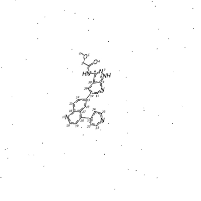 COCC(=O)Nc1n[nH]c2ncc(-c3ccc4nccc(-c5ccncc5)c4c3)cc12